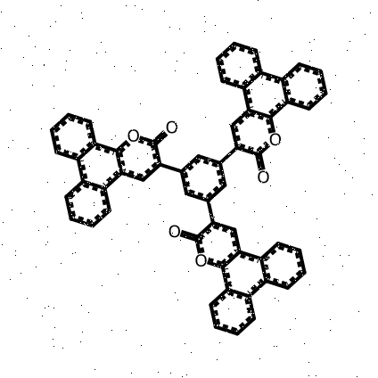 O=c1oc2c3ccccc3c3ccccc3c2cc1-c1cc(-c2cc3c4ccccc4c4ccccc4c3oc2=O)cc(-c2cc3c4ccccc4c4ccccc4c3oc2=O)c1